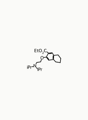 CCOC(=O)c1cc2c(cc1OCCN(C(C)C)C(C)C)CCCC2